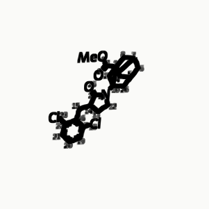 COC(=O)C12CC3CC(C1)CC(N1CCC(Cc4c(Cl)cccc4Cl)C1=O)(C3)C2